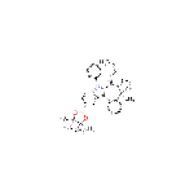 C=C1/C(=C\C=C/C)c2c(c3cc(B4OC(C)(C)C(C)(C)O4)ccc3n2-c2ccccc2)-c2ccccc2C1(C)C